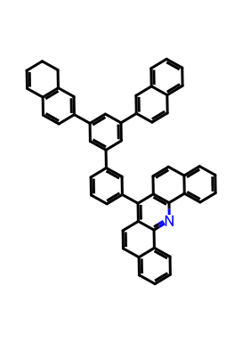 C1=Cc2ccc(-c3cc(-c4cccc(-c5c6ccc7ccccc7c6nc6c5ccc5ccccc56)c4)cc(-c4ccc5ccccc5c4)c3)cc2CC1